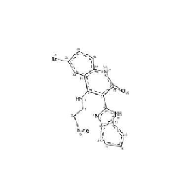 CNCCNc1c(-c2nc3ccccc3[nH]2)c(=O)[nH]c2ccc(Br)cc12